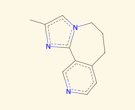 Cc1cn2c(n1)-c1cnccc1CCC2